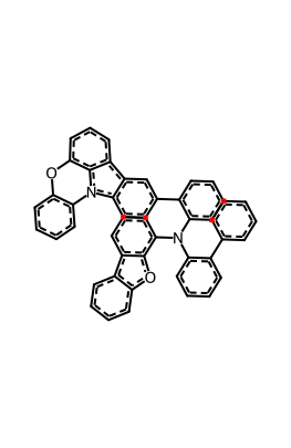 c1ccc(-c2ccccc2N(c2ccccc2-c2ccc3c(c2)c2cccc4c2n3-c2ccccc2O4)c2cccc3c2oc2ccccc23)cc1